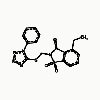 CCc1cccc2c1C(=O)N(CSc1nnnn1-c1ccccc1)S2(=O)=O